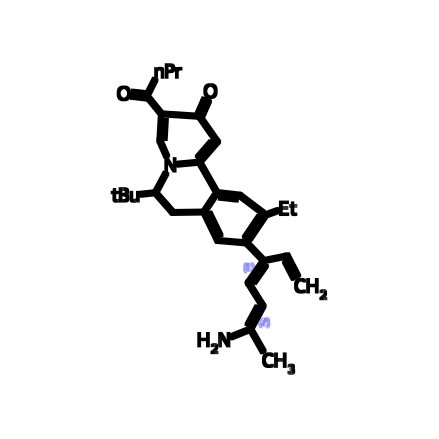 C=C/C(=C\C=C(\C)N)c1cc2c(cc1CC)-c1cc(=O)c(C(=O)CCC)cn1C(C(C)(C)C)C2